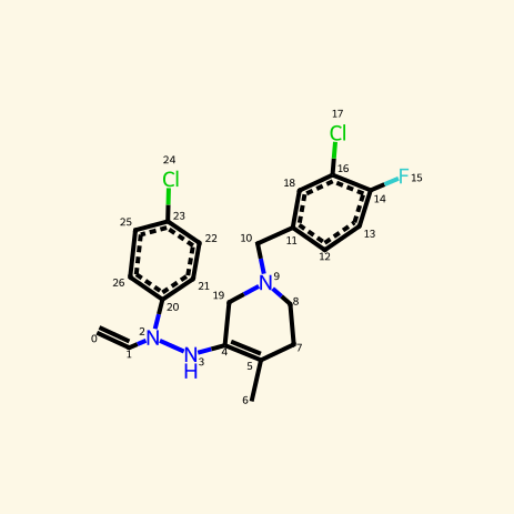 C=CN(NC1=C(C)CCN(Cc2ccc(F)c(Cl)c2)C1)c1ccc(Cl)cc1